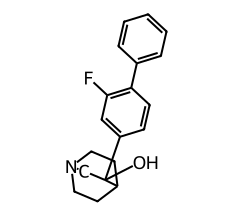 OC1(c2ccc(-c3ccccc3)c(F)c2)CN2CCC1CC2